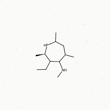 CCC1C(NC)C(C)CC(C)P[C@@H]1C